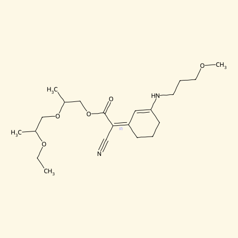 CCOC(C)COC(C)COC(=O)/C(C#N)=C1\C=C(NCCCOC)CCC1